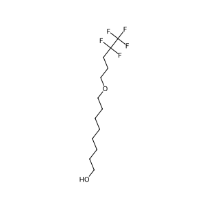 OCCCCCCCCOCCCC(F)(F)C(F)(F)F